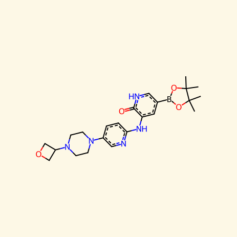 CC1(C)OB(c2c[nH]c(=O)c(Nc3ccc(N4CCN(C5COC5)CC4)cn3)c2)OC1(C)C